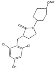 COC1CCC(N2CCC(Cc3c(Cl)cc(O)cc3Cl)C2=O)CC1